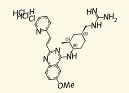 COc1ccc2nc(C=Cc3ccccn3)nc(N[C@@H]3CC[C@H](CNC(=N)N)C[C@@H]3C)c2c1.Cl.Cl.Cl